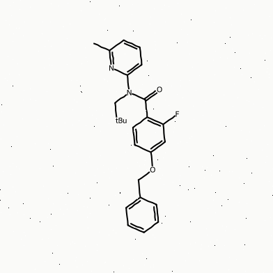 Cc1cccc(N(CC(C)(C)C)C(=O)c2ccc(OCc3ccccc3)cc2F)n1